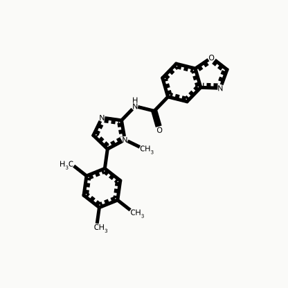 Cc1cc(C)c(-c2cnc(NC(=O)c3ccc4ocnc4c3)n2C)cc1C